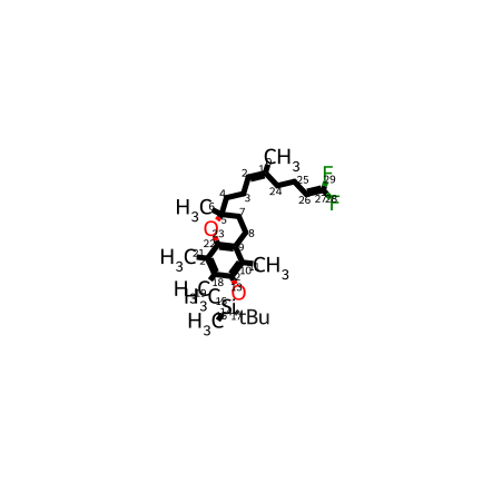 CC(=CCCC1(C)CCc2c(C)c(O[Si](C)(C)C(C)(C)C)c(C)c(C)c2O1)CCC=C(F)F